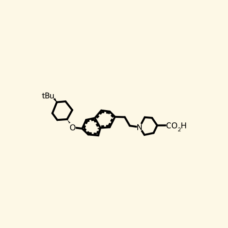 CC(C)(C)[C@H]1CC[C@H](Oc2ccc3cc(CCN4CCC(C(=O)O)CC4)ccc3c2)CC1